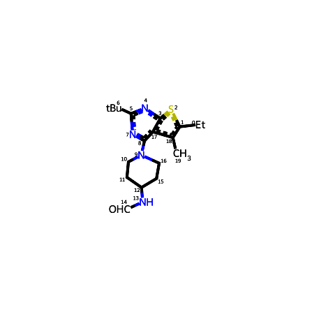 CCc1sc2nc(C(C)(C)C)nc(N3CCC(NC=O)CC3)c2c1C